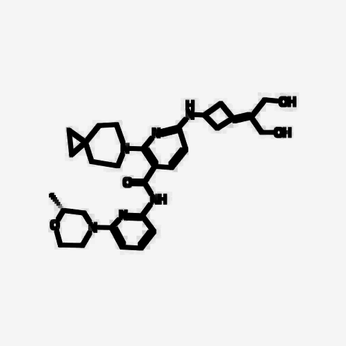 C[C@@H]1CN(c2cccc(NC(=O)c3ccc(NC4CC(=C(CO)CO)C4)nc3N3CCC4(CC3)CC4)n2)CCO1